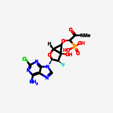 CNC(=O)[C@H](OC1[C@H]2O[C@@H](n3cnc4c(N)nc(Cl)nc43)[C@@H](F)[C@@]12O)P(=O)(O)O